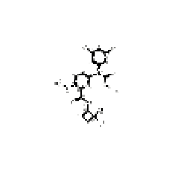 COC(=O)N(c1cc(F)cc(F)c1)c1ccc(OC)c(C(=O)NC2CCC2(C)C)n1